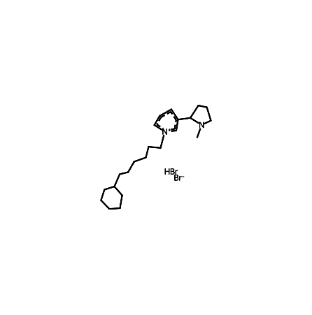 Br.CN1CCCC1c1ccc[n+](CCCCCCC2CCCCC2)c1.[Br-]